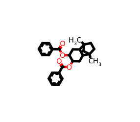 CC12CCC(C)(C1)C1CC(OC(=O)c3ccccc3)C(OC(=O)c3ccccc3)CC12